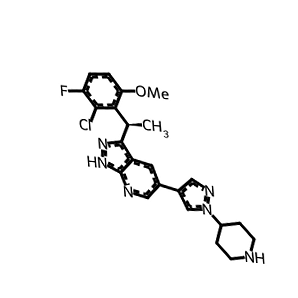 COc1ccc(F)c(Cl)c1[C@@H](C)c1n[nH]c2ncc(-c3cnn(C4CCNCC4)c3)cc12